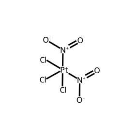 O=[N+]([O-])[Pt]([Cl])([Cl])([Cl])[N+](=O)[O-]